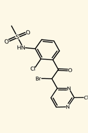 CS(=O)(=O)Nc1cccc(C(=O)C(Br)c2ccnc(Cl)n2)c1Cl